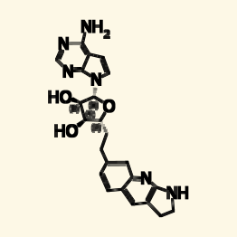 Nc1ncnc2c1ccn2[C@@H]1O[C@H](CCc2ccc3cc4c(nc3c2)NCC4)[C@@H](O)[C@H]1O